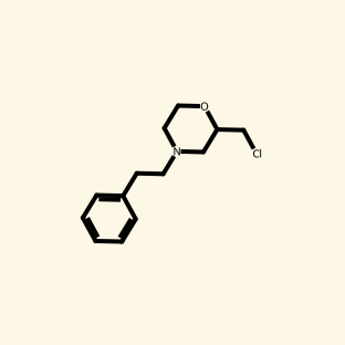 ClCC1CN(CCc2ccccc2)CCO1